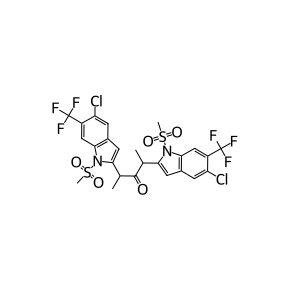 CC(C(=O)C(C)c1cc2cc(Cl)c(C(F)(F)F)cc2n1S(C)(=O)=O)c1cc2cc(Cl)c(C(F)(F)F)cc2n1S(C)(=O)=O